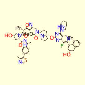 CCc1cccc2cc(O)cc(-c3ncc4c(N5CC6CCC(C5)N6)nc(OC[C@]56CCCN5[C@H](N(Cc5cc([C@@H](C(=O)N7C[C@H](O)C[C@H]7C(=O)N[C@@H](C)c7ccc(-c8scnc8C)cc7)C(C)C)on5)C(=O)OC)CC6)nc4c3F)c12